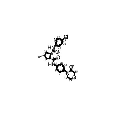 C[C@@H]1C[C@H](C(=O)Nc2ccc(N3CCOCC3=O)cc2)[C@@H](C(=O)Nc2ccc(Cl)cn2)C1